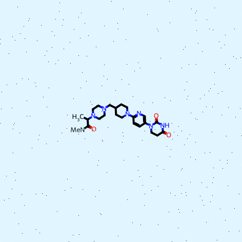 CNC(=O)C(C)N1CCN(CC2CCN(c3ccc(N4CCC(=O)NC4=O)cn3)CC2)CC1